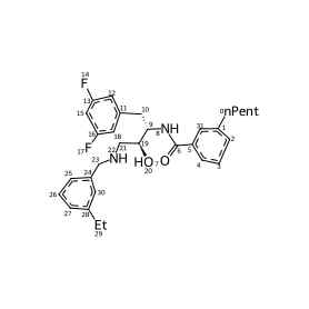 CCCCCc1cccc(C(=O)N[C@@H](Cc2cc(F)cc(F)c2)[C@@H](O)CNCc2cccc(CC)c2)c1